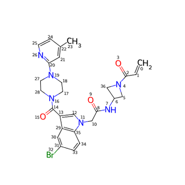 C=CC(=O)N1CC(NC(=O)Cn2cc(C(=O)N3CCN(c4cc(C)ccn4)CC3)c3cc(Br)ccc32)C1